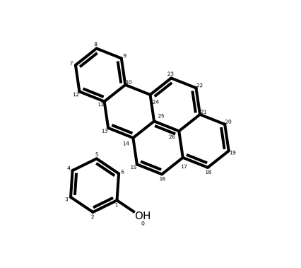 Oc1ccccc1.c1ccc2c(c1)cc1ccc3cccc4ccc2c1c34